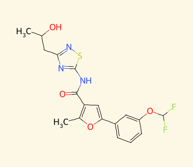 Cc1oc(-c2cccc(OC(F)F)c2)cc1C(=O)Nc1nc(CC(C)O)ns1